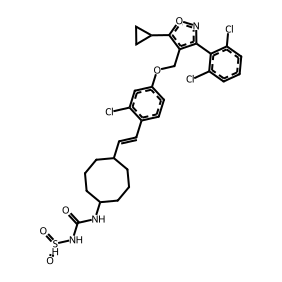 O=C(NC1CCCC(/C=C/c2ccc(OCc3c(-c4c(Cl)cccc4Cl)noc3C3CC3)cc2Cl)CCC1)N[SH](=O)=O